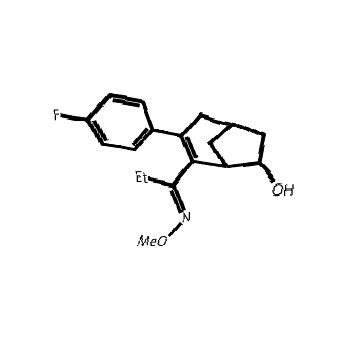 CCC(=NOC)C1=C(c2ccc(F)cc2)CC2CC(O)C1C2